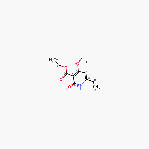 CCOC(=O)c1c(OC)cc(CC)[nH]c1=O